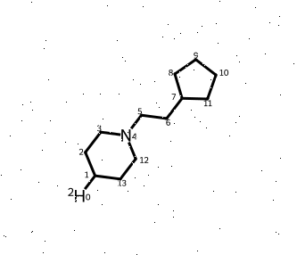 [2H]C1CCN(CCC2CCCC2)CC1